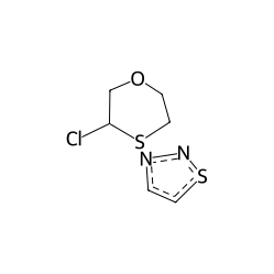 ClC1COCCS1.c1csnn1